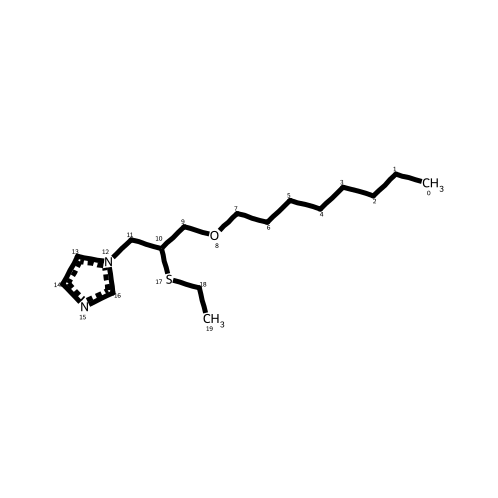 CCCCCCCCOCC(Cn1ccnc1)SCC